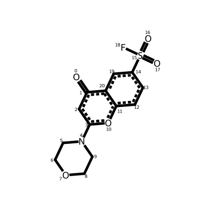 O=c1cc(N2CCOCC2)oc2ccc(S(=O)(=O)F)cc12